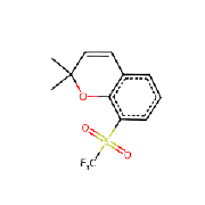 CC1(C)C=Cc2cccc(S(=O)(=O)C(F)(F)F)c2O1